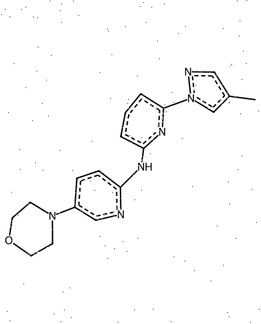 Cc1cnn(-c2cccc(Nc3ccc(N4CCOCC4)cn3)n2)c1